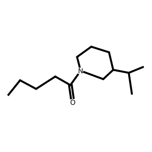 CCCCC(=O)N1CCCC(C(C)C)C1